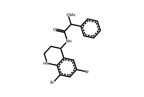 COC(C(=O)NC1CCNc2c(Br)cc(Br)cc21)c1ccccc1